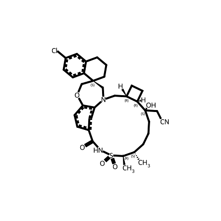 C[C@@H]1[C@@H](C)CCC[C@](O)(CC#N)[C@@H]2CC[C@H]2CN2C[C@@]3(CCCc4cc(Cl)ccc43)COc3ccc(cc32)C(=O)NS1(=O)=O